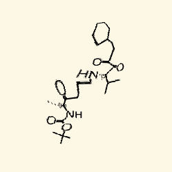 CC(C)[C@H](NCCCC(=O)[C@@H](C)NC(=O)OC(C)(C)C)C(=O)C(=O)CC1CCCCC1